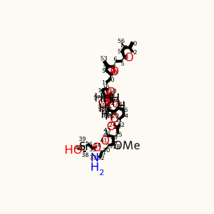 C=C1CO[C@@H](CC[C@@H]2O[C@@H](CC[C@@]34C[C@H]5O[C@@H]6[C@@H](O3)[C@H]3O[C@@H](CC(=O)C[C@@H]7[C@@H](OC)[C@@H](C[C@@H](CN)OCC[Si](C)(C)O)O[C@H]7C)CC[C@@H]3O[C@H]6[C@H]5O4)CC2=C)C[C@H]1C